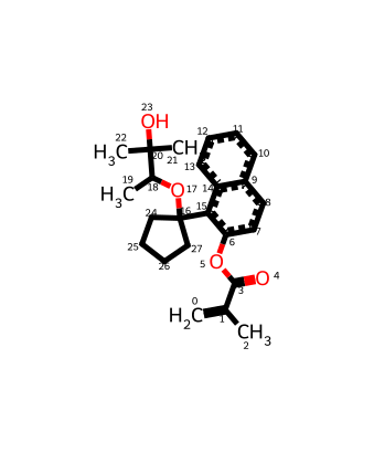 C=C(C)C(=O)Oc1ccc2ccccc2c1C1(OC(C)C(C)(C)O)CCCC1